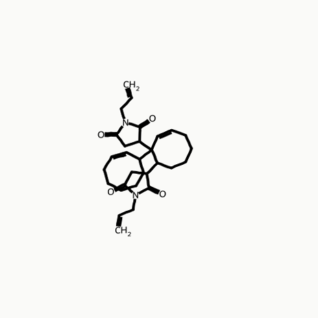 C=CCN1C(=O)CC(C2CCCCC=CC2(C2C=CCCCCC2)C2CC(=O)N(CC=C)C2=O)C1=O